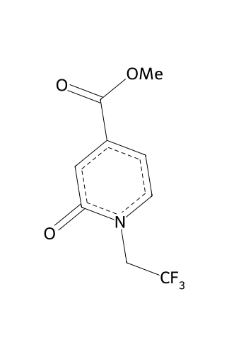 COC(=O)c1ccn(CC(F)(F)F)c(=O)c1